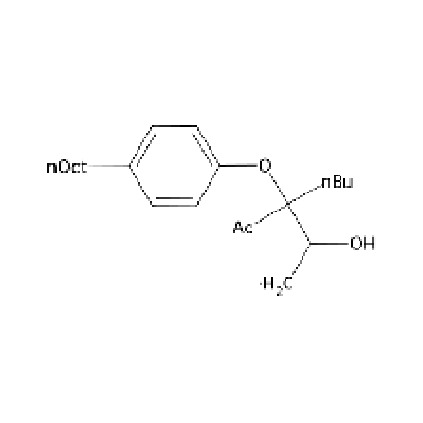 [CH2]C(O)C(CCCC)(Oc1ccc(CCCCCCCC)cc1)C(C)=O